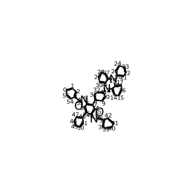 c1ccc(-c2nc3c(-c4ccc(N5c6ccccc6N(c6ccccc6)c6ccccc65)cc4)c4oc(-c5ccccc5)nc4c(-c4ccccc4)c3o2)cc1